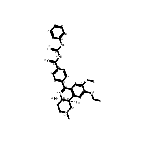 CCOc1cc2c(cc1OC)C(c1ccc(C(=O)NC(=N)Nc3ccccc3)cc1)=N[C@@H]1CCN(C)C[C@H]21